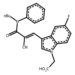 CCCCN(C(=O)/C(C#N)=C/c1cn(CC(=O)O)c2ccc(F)cc12)c1ccccc1